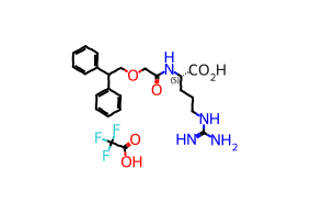 N=C(N)NCCC[C@H](NC(=O)COCC(c1ccccc1)c1ccccc1)C(=O)O.O=C(O)C(F)(F)F